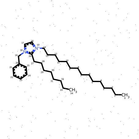 CCCCCCCCCCCCCCC[n+]1ccn(Cc2ccccc2)c1CCCCCCCC